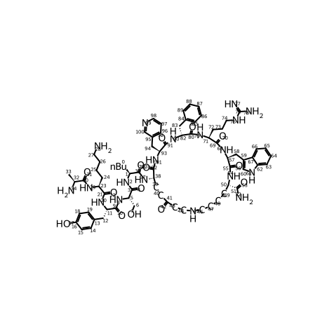 CCCC[C@H](NC(=O)[C@H](CO)NC(=O)[C@H](Cc1ccc(O)cc1)NC(=O)[C@H](CCCCN)NC(=O)[C@H](C)N)C(=O)N[C@H]1CCC(=O)CCNCCCC[C@@H](C(N)=O)NC(=O)[C@H](Cc2c[nH]c3ccccc23)NC(=O)[C@H](CCCNC(=N)N)NC(=O)[C@@H](Cc2ccccc2)NC(=O)[C@H](Cc2cccnc2)NC1=O